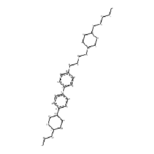 CCCCCC1CCC(CCCCc2ccc(-c3ccc(C4CCC(CCC)CC4)cc3)cc2)CC1